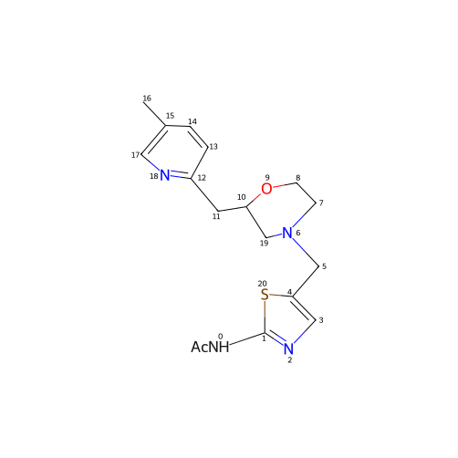 CC(=O)Nc1ncc(CN2CCOC(Cc3ccc(C)cn3)C2)s1